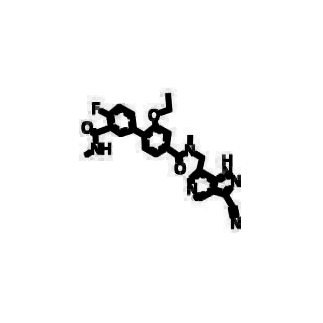 CCOc1cc(C(=O)N(C)Cc2cncc3c(C#N)n[nH]c23)ccc1-c1ccc(F)c(C(=O)NC)c1